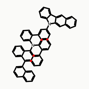 c1ccc(-c2ccccc2N(c2ccccc2-c2cccc(-n3c4ccccc4c4cc5ccccc5cc43)c2)c2ccc(-c3cccc4ccccc34)c3ccccc23)cc1